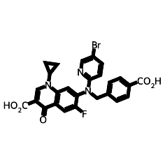 O=C(O)c1ccc(CN(c2ccc(Br)cn2)c2cc3c(cc2F)c(=O)c(C(=O)O)cn3C2CC2)cc1